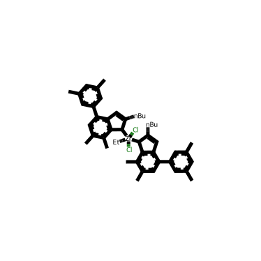 CCCCC1=Cc2c(-c3cc(C)cc(C)c3)cc(C)c(C)c2[CH]1[Zr]([Cl])([Cl])([CH2]C)[CH]1C(CCCC)=Cc2c(-c3cc(C)cc(C)c3)cc(C)c(C)c21